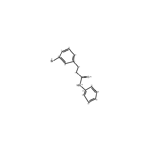 O=C(CCc1cccc(Br)c1)Nc1ccccc1